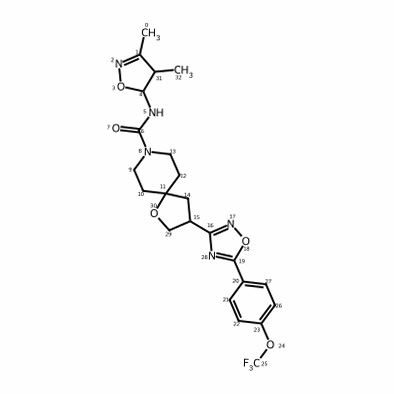 CC1=NOC(NC(=O)N2CCC3(CC2)CC(c2noc(-c4ccc(OC(F)(F)F)cc4)n2)CO3)C1C